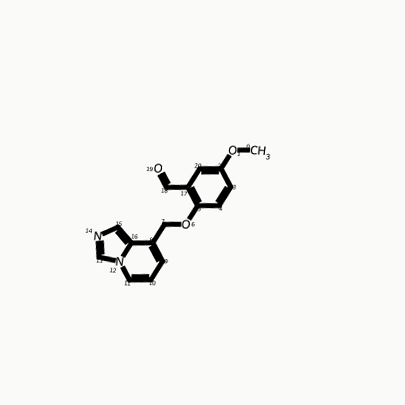 COc1ccc(OCc2cccn3cncc23)c(C=O)c1